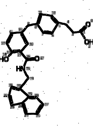 O=C(O)CCc1ccc(Cc2ccc(O)c(C(=O)NCc3cccc4ccccc34)c2)cc1